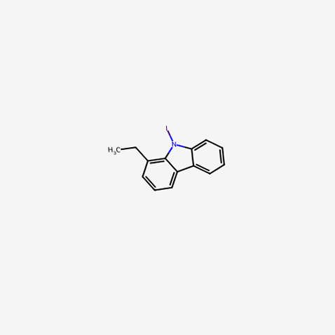 CCc1cccc2c3ccccc3n(I)c12